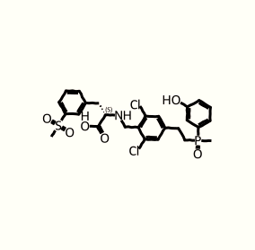 CP(=O)(CCc1cc(Cl)c(CN[C@@H](Cc2cccc(S(C)(=O)=O)c2)C(=O)O)c(Cl)c1)c1cccc(O)c1